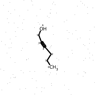 C[CH]CC#CCO